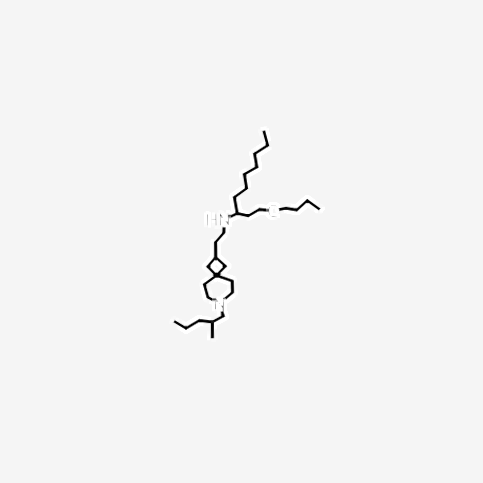 CCCCCCCC(CCCCCCC)NCCC1CC2(CCN(CC(C)CCC)CC2)C1